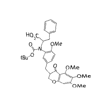 COc1ccc(CC2COc3cc(OC)c(OC)c(OC)c3C2=O)cc1N(C(=O)OC(C)(C)C)C(Cc1ccccc1)C(=O)O